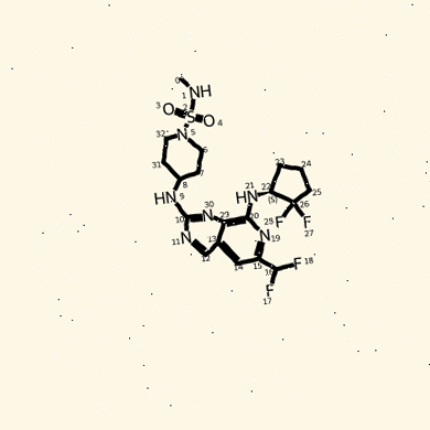 CNS(=O)(=O)N1CCC(Nc2ncc3cc(C(F)F)nc(N[C@H]4CCCC4(F)F)c3n2)CC1